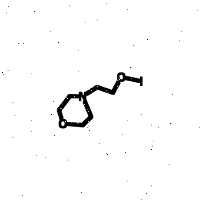 IOCCN1CCOCC1